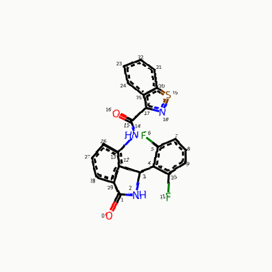 O=C1NC(c2c(F)cccc2F)c2c(NC(=O)c3nsc4ccccc34)cccc21